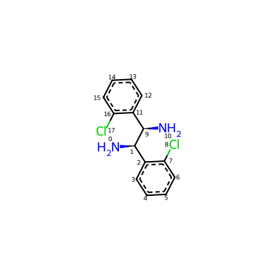 N[C@H](c1ccccc1Cl)[C@H](N)c1ccccc1Cl